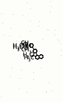 CC1(C)c2cc(-c3cccc(B4OC(C)(C)C(C)(C)O4)c3)ccc2-c2c1ccc1ccccc21